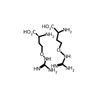 N=C(N)NOCCC(N)C(=O)O.N=C(N)NOCC[C@H](N)C(=O)O